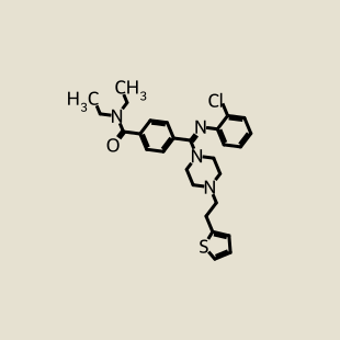 CCN(CC)C(=O)c1ccc(/C(=N/c2ccccc2Cl)N2CCN(CCc3cccs3)CC2)cc1